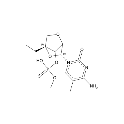 CC[C@@]12COC(C1OP(O)(=S)OC)[C@H](n1cc(C)c(N)nc1=O)O2